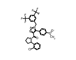 C[S+]([O-])c1ccc(-c2c(C(=O)N3CCCC3c3ccccc3Cl)nnn2Cc2cc(C(F)(F)F)cc(C(F)(F)F)c2)cc1